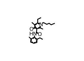 CCCCCn1c(C)c(C(=O)Nc2c(C)cccc2CC)c(=O)c(C)c1CC